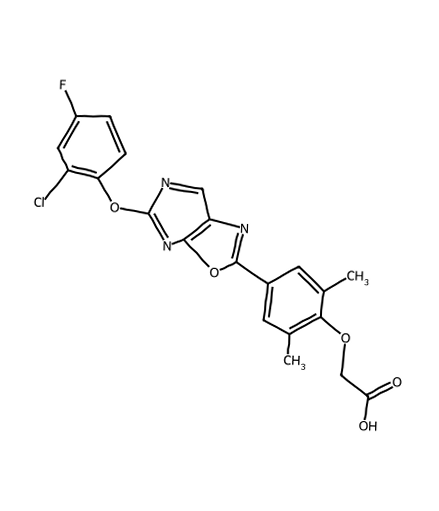 Cc1cc(-c2nc3cnc(Oc4ccc(F)cc4Cl)nc3o2)cc(C)c1OCC(=O)O